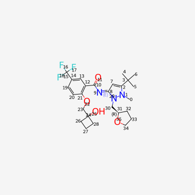 Cn1c(C(C)(C)C)c/c(=N\C(=O)c2cc(C(F)(F)F)ccc2OCC2(O)CCC2)n1C[C@H]1CCCO1